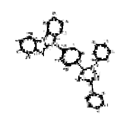 c1ccc(-c2nc(-c3ccc(-n4c5ccccc5n5c6ccccc6nc45)cc3)n(-c3ccccc3)n2)cc1